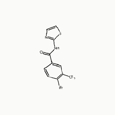 CC(C)c1ccc(C(=O)Nc2nccs2)cc1C(F)(F)F